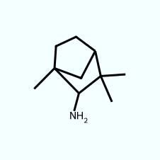 CC12CCC(C1)C(C)(C)C2N